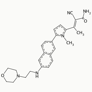 C/C(=C(/C#N)C(N)=O)c1ccc(-c2ccc3cc(NCCN4CCOCC4)ccc3c2)n1C